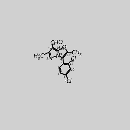 Cc1nn2c(-c3ccc(Cl)cc3Cl)c(C)oc2c1C=O